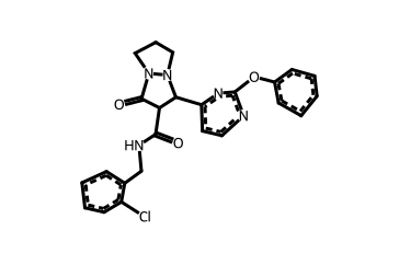 O=C(NCc1ccccc1Cl)C1C(=O)N2CCCN2C1c1ccnc(Oc2ccccc2)n1